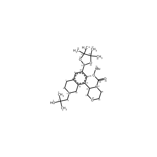 CC(C)(O)CN1CCc2cc(B3OC(C)(C)C(C)(C)O3)cc(C3COCCN3C(=O)OC(C)(C)C)c2C1